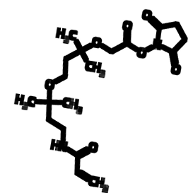 C=CC(=O)NCCC(C)(C)OCCC(C)(C)OCC(=O)ON1C(=O)CCC1=O